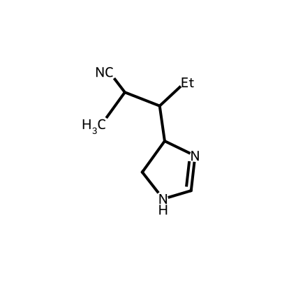 CCC(C(C)C#N)C1CNC=N1